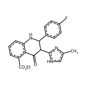 CCOC(=O)c1cccc2c1C(=O)C(c1nc(C)c[nH]1)C(c1ccc(F)cc1)N2